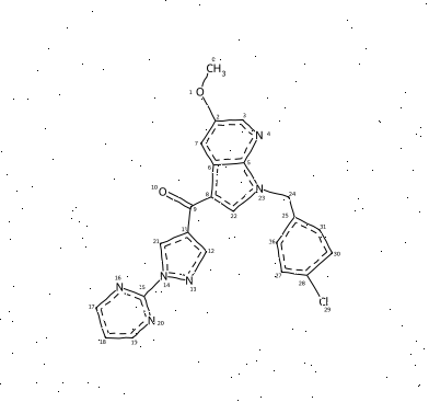 COc1cnc2c(c1)c(C(=O)c1cnn(-c3ncccn3)c1)cn2Cc1ccc(Cl)cc1